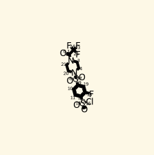 O=C(N1CCN(S(=O)(=O)c2ccc(S(=O)(=O)Cl)c(F)c2)CC1)C(F)(F)F